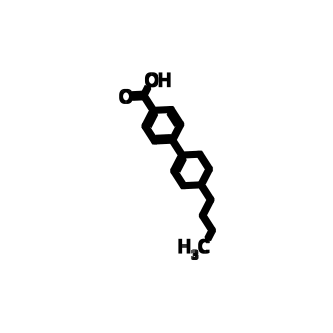 CCCCC1CC=C(c2ccc(C(=O)O)cc2)CC1